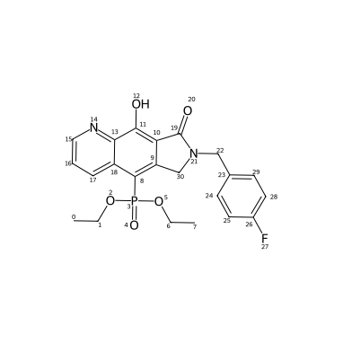 CCOP(=O)(OCC)c1c2c(c(O)c3ncccc13)C(=O)N(Cc1ccc(F)cc1)C2